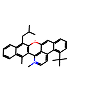 Cc1c2c(c(CC(C)C)c3ccccc13)Oc1cc3cccc(C(C)(C)C)c3c3cc[n+](C)c-2c13